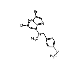 COc1ccc(CN(C)c2cc(Cl)nn3c(Br)cnc23)cc1